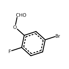 O=COc1cc(Br)ccc1F